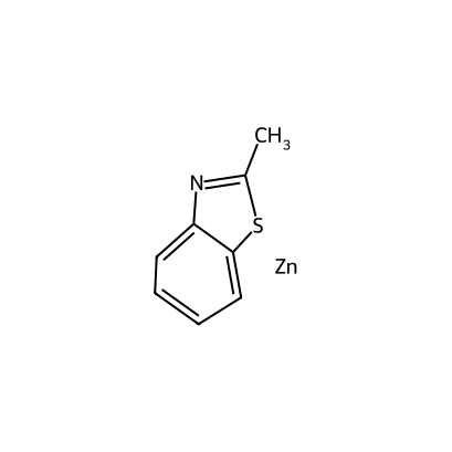 Cc1nc2ccccc2s1.[Zn]